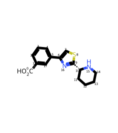 O=C(O)c1cccc(-c2csc([C@H]3CCCCN3)n2)c1